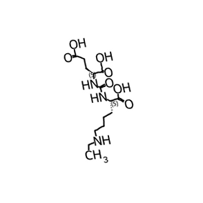 CCNCCCC[C@H](NC(=O)N[C@@H](CCC(=O)O)C(=O)O)C(=O)O